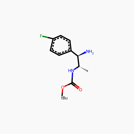 C[C@H](NC(=O)OC(C)(C)C)[C@H](N)c1ccc(F)cc1